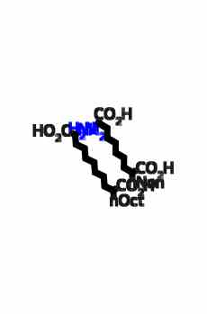 CCCCCCCCC(CCCCCCCC(N)C(=O)O)C(=O)O.CCCCCCCCCC(CCCCCCC(N)C(=O)O)C(=O)O